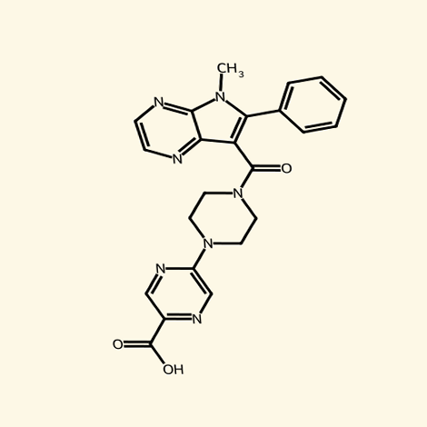 Cn1c(-c2ccccc2)c(C(=O)N2CCN(c3cnc(C(=O)O)cn3)CC2)c2nccnc21